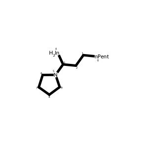 CCCCCCC[CH]([InH2])N1C[CH]CC1